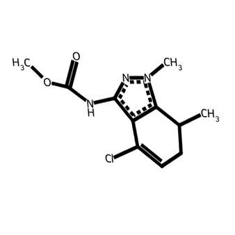 COC(=O)Nc1nn(C)c2c1C(Cl)=CCC2C